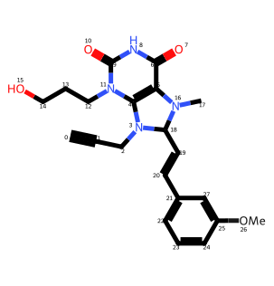 C#CCN1c2c(c(=O)[nH]c(=O)n2CCCO)N(C)C1C=Cc1cccc(OC)c1